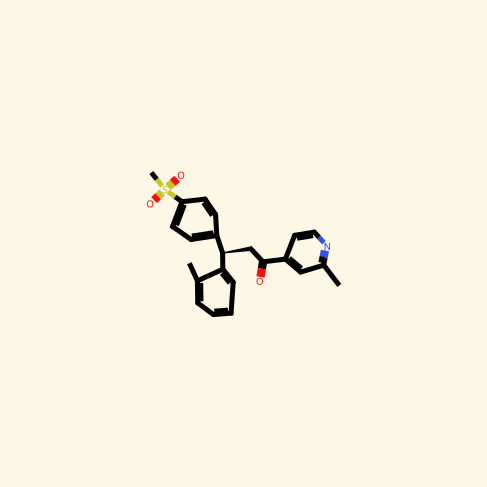 Cc1cc(C(=O)C[C@H](c2ccc(S(C)(=O)=O)cc2)c2ccccc2C)ccn1